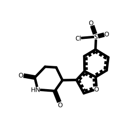 O=C1CCC(c2coc3ccc(S(=O)(=O)Cl)cc23)C(=O)N1